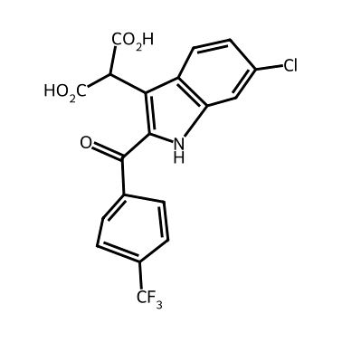 O=C(c1ccc(C(F)(F)F)cc1)c1[nH]c2cc(Cl)ccc2c1C(C(=O)O)C(=O)O